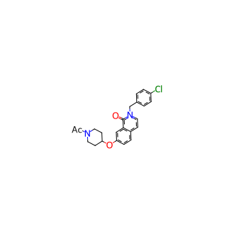 CC(=O)N1CCC(Oc2ccc3ccn(Cc4ccc(Cl)cc4)c(=O)c3c2)CC1